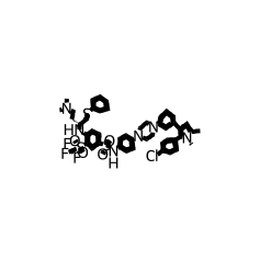 Cc1cc(-c2cccc(N3CCN(c4ccc(NS(=O)(=O)c5ccc(N[C@H](CCN(C)C)CSc6ccccc6)c(S(=O)(=O)C(F)(F)F)c5)cc4)CC3)c2)c(-c2ccc(Cl)cc2)n1C